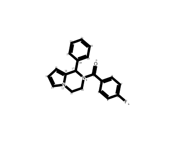 O=C(c1ccc(F)cc1)N1CCn2cccc2C1c1ccccc1